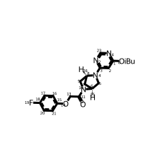 CC(C)COc1cc(N2C[C@@H]3C[C@H]2CN3C(=O)COc2ccc(F)cc2)ncn1